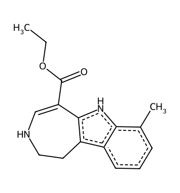 CCOC(=O)C1=CNCCc2c1[nH]c1c(C)cccc21